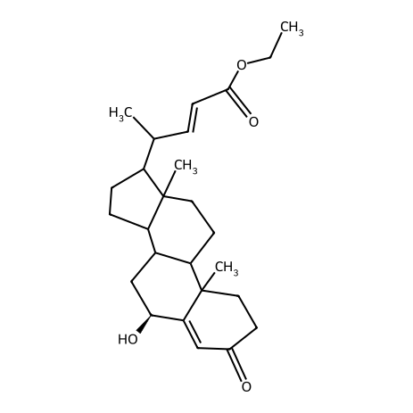 CCOC(=O)/C=C/C(C)C1CCC2C3C[C@H](O)C4=CC(=O)CCC4(C)C3CCC12C